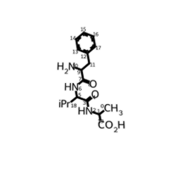 CC(NC(=O)C(NC(=O)C(N)Cc1ccccc1)C(C)C)C(=O)O